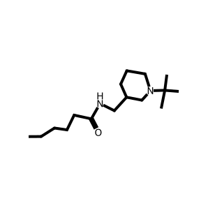 CCCCCC(=O)NCC1CCCN(C(C)(C)C)C1